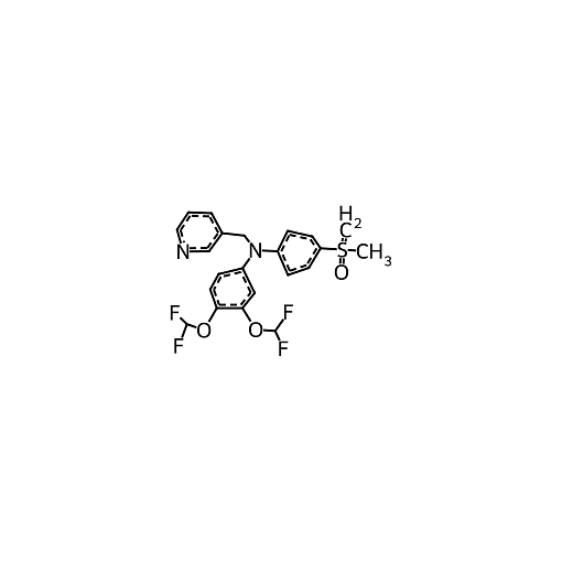 C=S(C)(=O)c1ccc(N(Cc2cccnc2)c2ccc(OC(F)F)c(OC(F)F)c2)cc1